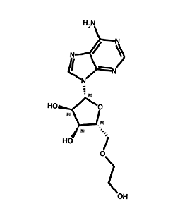 Nc1ncnc2c1ncn2[C@@H]1O[C@H](COCCO)[C@@H](O)[C@H]1O